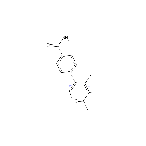 C/C=C(\C(C)=C(\C)C(C)=O)c1ccc(C(N)=O)cc1